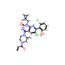 C=CC(=O)N1CCN(/C(=N/C)c2cc(Cl)c(-c3c(O)cccc3F)nc2N(C=O)CC2(C)CC2)C(C)C1